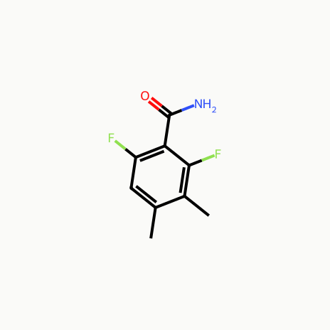 Cc1cc(F)c(C(N)=O)c(F)c1C